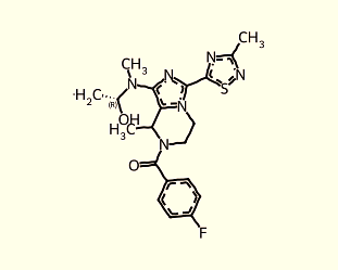 [CH2][C@@H](O)N(C)c1nc(-c2nc(C)ns2)n2c1C(C)N(C(=O)c1ccc(F)cc1)CC2